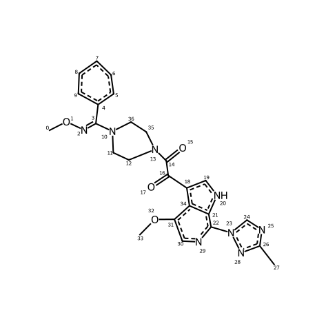 CON=C(c1ccccc1)N1CCN(C(=O)C(=O)c2c[nH]c3c(-n4cnc(C)n4)ncc(OC)c23)CC1